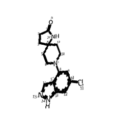 O=C1CCC2(CCN(c3cc(Cl)cc4[nH]ncc34)CC2)N1